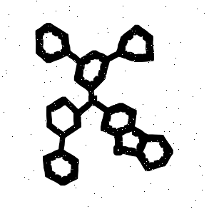 C1=CC(N(c2cc(-c3ccccc3)cc(-c3ccccc3)c2)c2ccc3c(c2)oc2ccccc23)=CC(c2ccccc2)C1